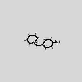 ClC1CCC(CN2CCCCC2)CC1